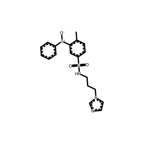 Cc1ccc(S(=O)(=O)NCCCn2ccnc2)cc1[S+]([O-])c1ccccc1